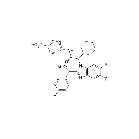 COC(c1ccc(F)cc1)c1nc2cc(F)c(F)cc2n1C(C(=O)Nc1ccc(C(=O)O)cn1)C1CCCCC1